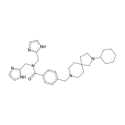 O=C(c1ccc(CN2CCC3(CC2)CCN(C2CCCCC2)C3)cc1)N(Cc1ncc[nH]1)Cc1ncc[nH]1